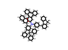 CC1(C)c2ccccc2-c2c(-c3ccc(N(c4ccc5c6ccccc6c6ccccc6c5c4)c4cc5c(cc4-c4ccc6ccccc6c4)-c4ccccc4C54c5ccccc5-c5ccccc54)cc3)cccc21